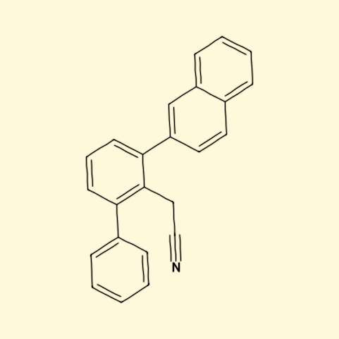 N#CCc1c(-c2ccccc2)cccc1-c1ccc2ccccc2c1